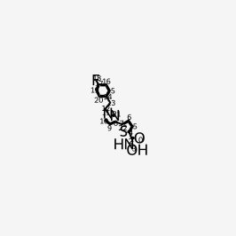 O=C(NO)c1ccc(-c2ccn(CCc3ccc(F)cc3)n2)s1